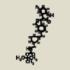 CC(C)(C)OC(=O)NCC1CCCN(Cc2ccc3c(c2)CO/C3=C2/C(=O)Nc3ccc(F)cc32)C1